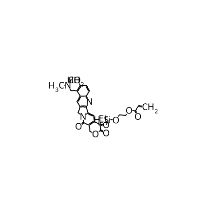 C=CC(=O)OCCO[SiH2]O[C@]1(CC)C(=O)OCc2c1cc1n(c2=O)Cc2cc3c(CN(C)C)c(O)ccc3nc2-1